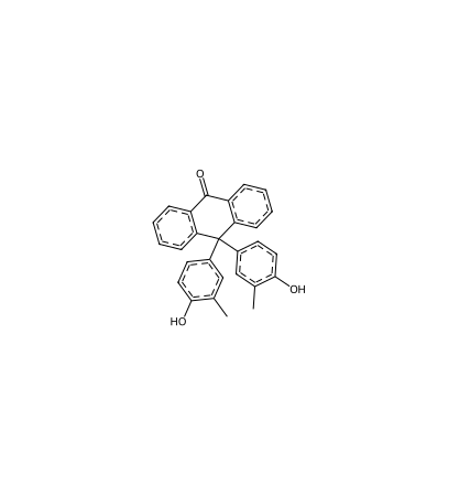 Cc1cc(C2(c3ccc(O)c(C)c3)c3ccccc3C(=O)c3ccccc32)ccc1O